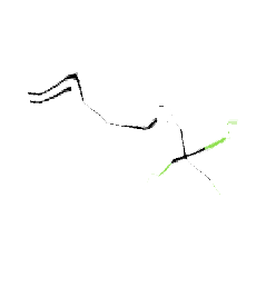 C=CC[Te]C(F)(F)F